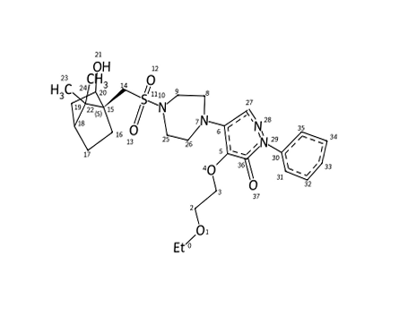 CCOCCOc1c(N2CCN(S(=O)(=O)C[C@]34CCC(CC3O)C4(C)C)CC2)cnn(-c2ccccc2)c1=O